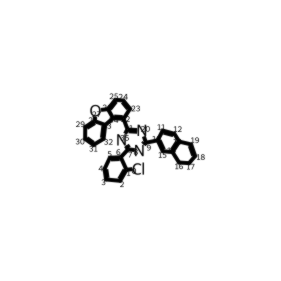 Clc1ccccc1-c1nc(-c2ccc3c(c2)CCC=C3)nc(-c2cccc3oc4ccccc4c23)n1